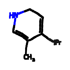 CC1=CNCC=C1C(C)C